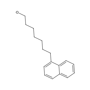 [O]CCCCCCCc1cccc2ccccc12